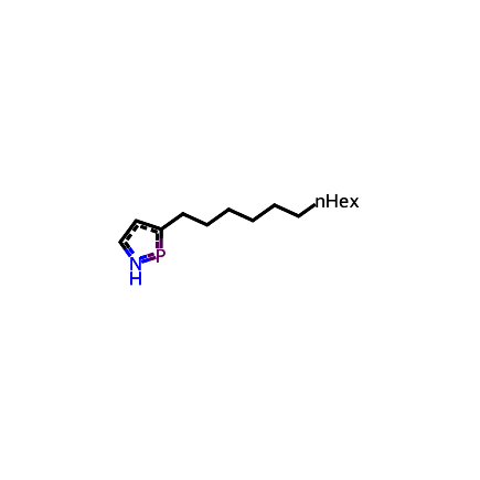 CCCCCCCCCCCCc1cc[nH]p1